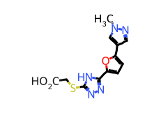 Cn1cc(-c2ccc(-c3nnc(SCC(=O)O)[nH]3)o2)cn1